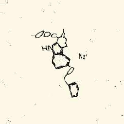 CN1CCc2c([nH]c3ccc(OCc4ccccc4)cc23)C1C(=O)[O-].[Na+]